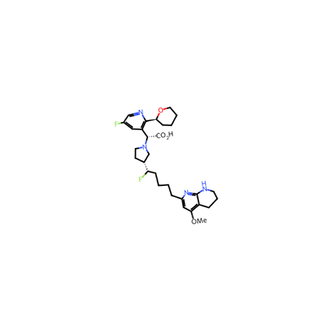 COc1cc(CCCCC(F)[C@@H]2CCN([C@@H](C(=O)O)c3cc(F)cnc3[C@@H]3CCCCO3)C2)nc2c1CCCN2